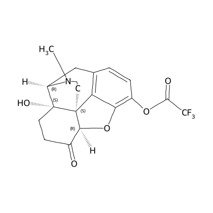 CN1CC[C@]23c4c5ccc(OC(=O)C(F)(F)F)c4O[C@H]2C(=O)CC[C@@]3(O)[C@H]1C5